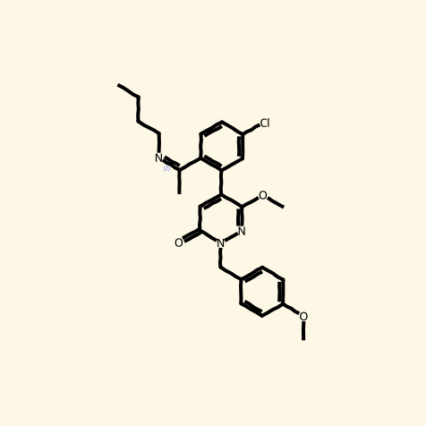 CCCC/N=C(/C)c1ccc(Cl)cc1-c1cc(=O)n(Cc2ccc(OC)cc2)nc1OC